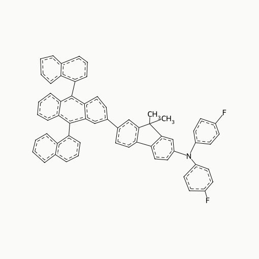 CC1(C)c2cc(-c3ccc4c(-c5cccc6ccccc56)c5ccccc5c(-c5cccc6ccccc56)c4c3)ccc2-c2ccc(N(c3ccc(F)cc3)c3ccc(F)cc3)cc21